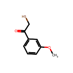 COc1cccc(C(=O)CS)c1